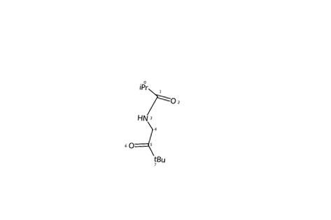 CC(C)C(=O)NCC(=O)C(C)(C)C